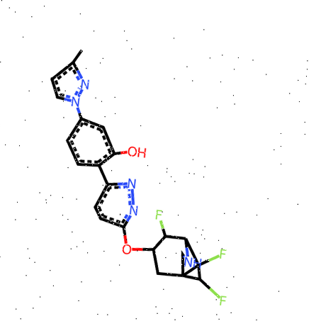 Cc1ccn(-c2ccc(-c3ccc(OC4CC56CNC(C4F)C5(F)C6F)nn3)c(O)c2)n1